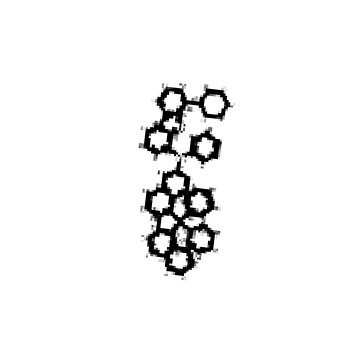 c1ccc(N(c2ccc3c4c(ccc3c2)-c2ccc3ccccc3c2C4(c2ccccc2)c2ccccc2)c2cccc3c2oc2c(C4CCCCC4)cccc23)cc1